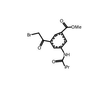 COC(=O)c1cc(NC(=O)C(C)C)cc(C(=O)CBr)c1